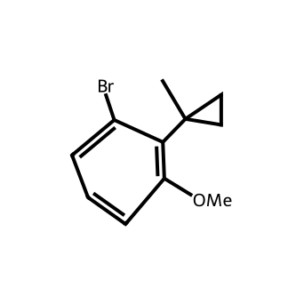 COc1cccc(Br)c1C1(C)CC1